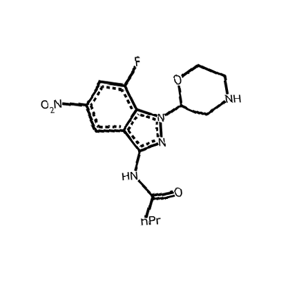 CCCC(=O)Nc1nn(C2CNCCO2)c2c(F)cc([N+](=O)[O-])cc12